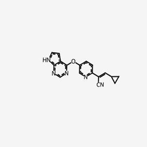 N#CC(=CC1CC1)c1ccc(Oc2ncnc3[nH]ccc23)cn1